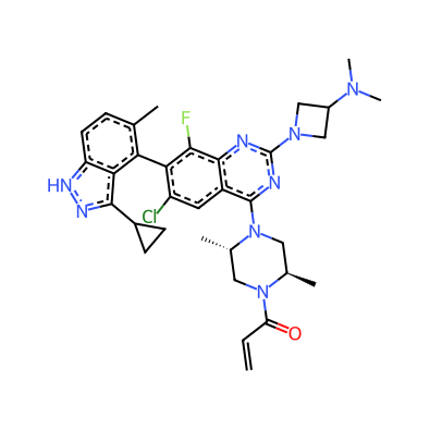 C=CC(=O)N1C[C@H](C)N(c2nc(N3CC(N(C)C)C3)nc3c(F)c(-c4c(C)ccc5[nH]nc(C6CC6)c45)c(Cl)cc23)C[C@H]1C